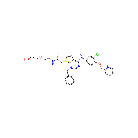 O=C(CS1=C2C(=C(Nc3ccc(OCc4ccccn4)c(Cl)c3)N=CN2Cc2ccccc2)C=C1)NCCOCCO